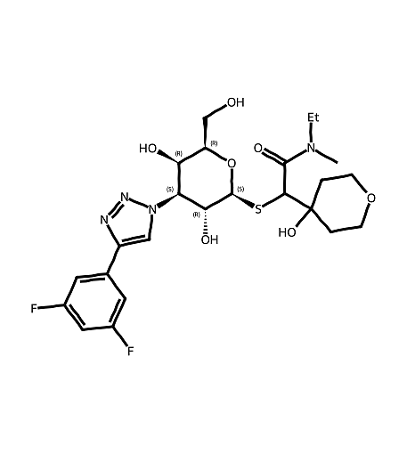 CCN(C)C(=O)C(S[C@@H]1O[C@H](CO)[C@H](O)[C@H](n2cc(-c3cc(F)cc(F)c3)nn2)[C@H]1O)C1(O)CCOCC1